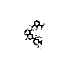 COC1(C2=Cc3c(N[C@H](C)c4cccc(C(F)F)c4F)ncnc3N(C)C2)CCN(C(C)=O)C2(CC2)C1